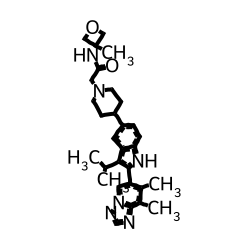 Cc1c(-c2[nH]c3ccc(C4CCN(CC(=O)NC5(C)COC5)CC4)cc3c2C(C)C)cn2ncnc2c1C